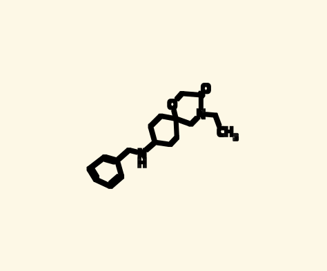 CCN1CC2(CCC(NCc3ccccc3)CC2)OCC1=O